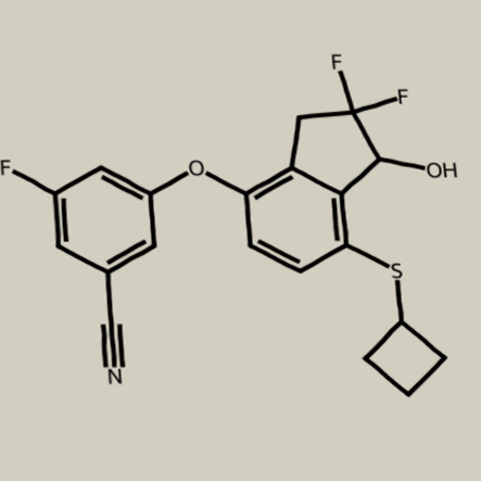 N#Cc1cc(F)cc(Oc2ccc(SC3CCC3)c3c2CC(F)(F)C3O)c1